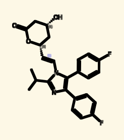 CC(C)c1nc(-c2ccc(F)cc2)c(-c2ccc(F)cc2)n1/C=C/[C@H]1C[C@@H](O)CC(=O)O1